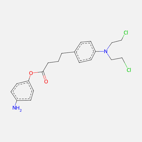 Nc1ccc(OC(=O)CCCc2ccc(N(CCCl)CCCl)cc2)cc1